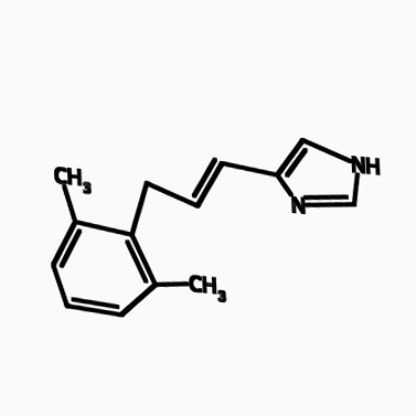 Cc1cccc(C)c1CC=Cc1c[nH]cn1